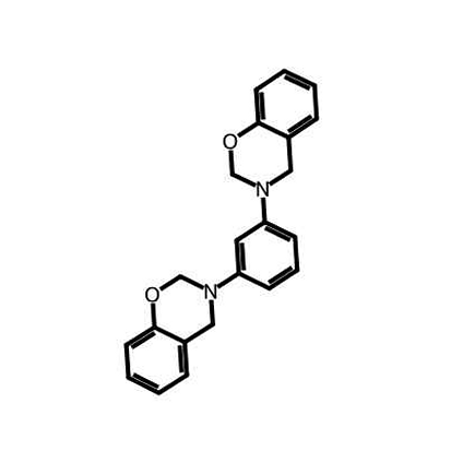 c1cc(N2COc3ccccc3C2)cc(N2COc3ccccc3C2)c1